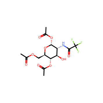 CC(=O)OC[C@H]1O[C@H](OC(C)=O)[C@H](NC(=O)C(F)(F)F)[C@@H](O)[C@@H]1OC(C)=O